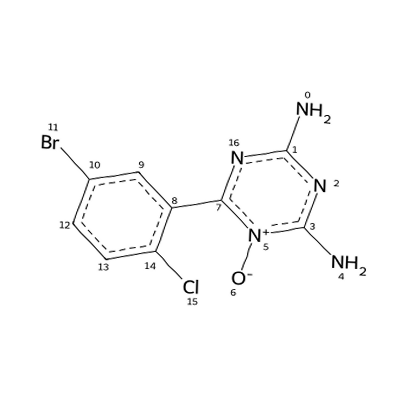 Nc1nc(N)[n+]([O-])c(-c2cc(Br)ccc2Cl)n1